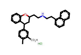 Cc1ccc(C2CC(CCNCCc3cccc4ccccc34)Oc3ccccc32)cc1C(=O)O.Cl